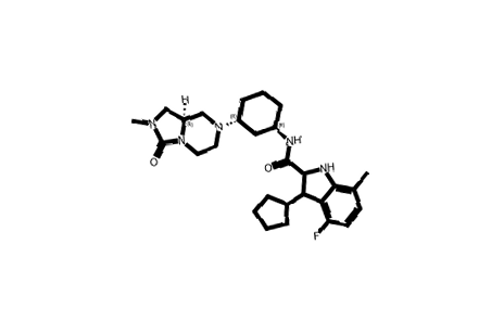 Cc1ccc(F)c2c1NC(C(=O)N[C@@H]1CCC[C@@H](N3CCN4C(=O)N(C)C[C@H]4C3)C1)C2C1CCCC1